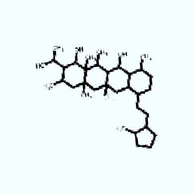 CC(O)C1C(C)CC2(C)CC3(C)CC4C(CCC5CCCC5C)CCC(C)C4C(O)C3C(C)C2(C)C1O